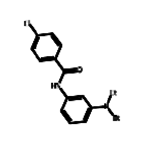 CCN(CC)c1cccc(NC(=O)c2ccc(Cl)cc2)c1